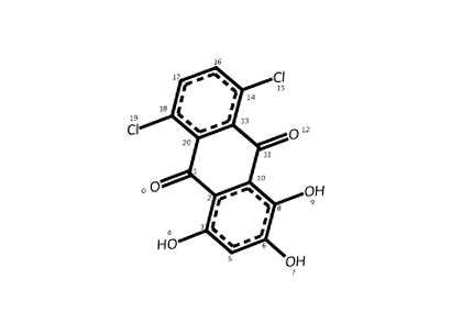 O=C1c2c(O)cc(O)c(O)c2C(=O)c2c(Cl)ccc(Cl)c21